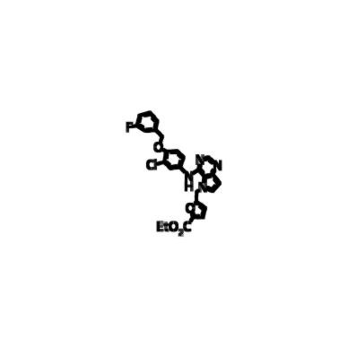 CCOC(=O)c1ccc(Cn2ccc3ncnc(Nc4ccc(OCc5cccc(F)c5)c(Cl)c4)c32)o1